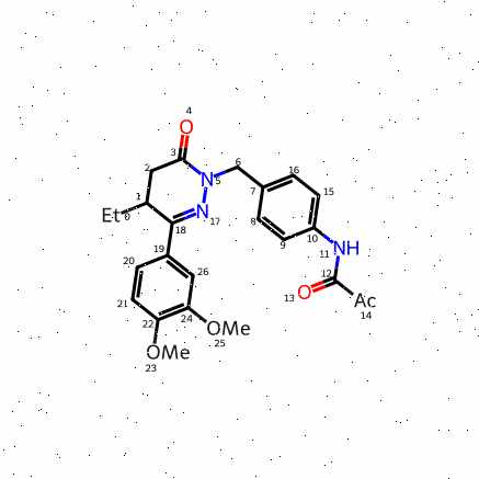 CCC1CC(=O)N(Cc2ccc(NC(=O)C(C)=O)cc2)N=C1c1ccc(OC)c(OC)c1